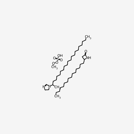 CCCCCCCCCCCCCCCC1CC(=O)N1.CCCCCCCCCCCCCCCCCCCC(C)N1C=NCC1.COOS(=O)(=O)O